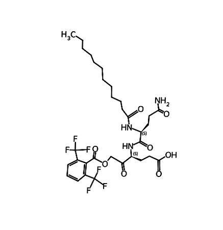 CCCCCCCCCCCC(=O)N[C@@H](CCC(N)=O)C(=O)N[C@@H](CCC(=O)O)C(=O)COC(=O)c1c(C(F)(F)F)cccc1C(F)(F)F